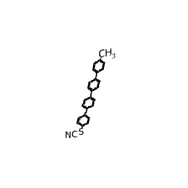 Cc1ccc(-c2ccc(-c3ccc(-c4ccc(SC#N)cc4)cc3)cc2)cc1